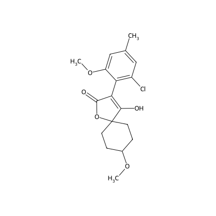 COc1cc(C)cc(Cl)c1C1=C(O)C2(CCC(OC)CC2)OC1=O